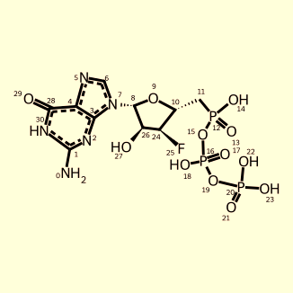 Nc1nc2c(ncn2[C@@H]2O[C@H](CP(=O)(O)OP(=O)(O)OP(=O)(O)O)[C@@H](F)[C@H]2O)c(=O)[nH]1